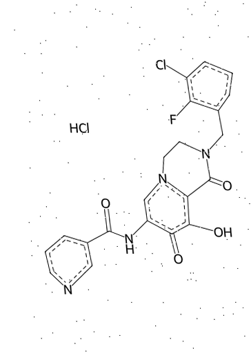 Cl.O=C(Nc1cn2c(c(O)c1=O)C(=O)N(Cc1cccc(Cl)c1F)CC2)c1cccnc1